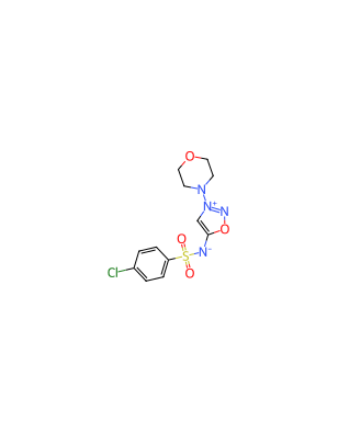 O=S(=O)([N-]c1c[n+](N2CCOCC2)no1)c1ccc(Cl)cc1